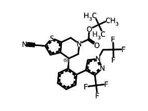 CC(C)(C)OC(=O)N1Cc2sc(C#N)cc2[C@H](c2ccccc2-c2cn(CC(F)(F)F)nc2C(F)(F)F)C1